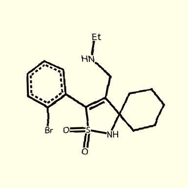 CCNCC1=C(c2ccccc2Br)S(=O)(=O)NC12CCCCC2